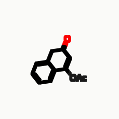 CC(=O)OC1=CC(=O)Cc2ccccc21